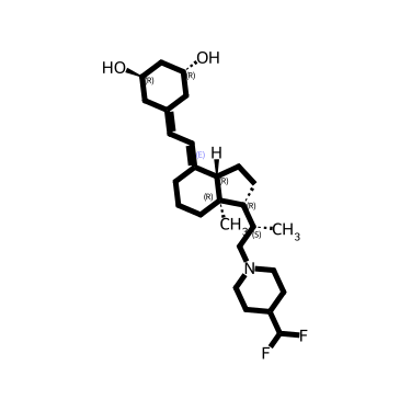 C[C@H](CN1CCC(C(F)F)CC1)[C@H]1CC[C@H]2/C(=C/C=C3C[C@@H](O)C[C@H](O)C3)CCC[C@]12C